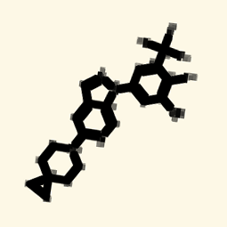 Oc1cc(-n2ncc3cc(N4CCC5(CC4)CC5)ncc32)cc(C(F)(F)F)c1F